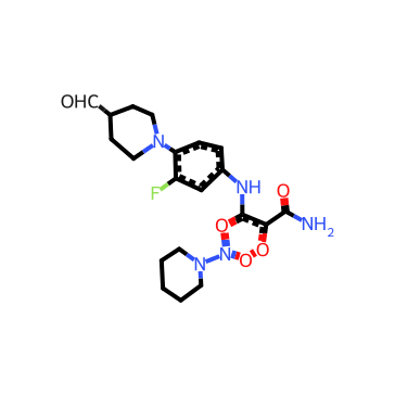 NC(=O)c1oon(N2CCCCC2)oc1Nc1ccc(N2CCC(C=O)CC2)c(F)c1